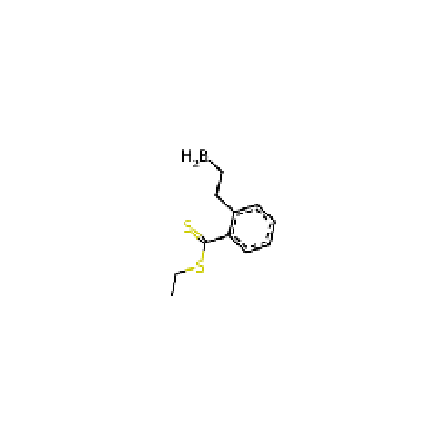 BCCc1ccccc1C(=S)SCC